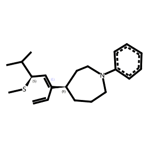 C=C/C(=C\[C@@H](SC)C(C)C)[C@@H]1CCCN(c2ccccc2)CC1